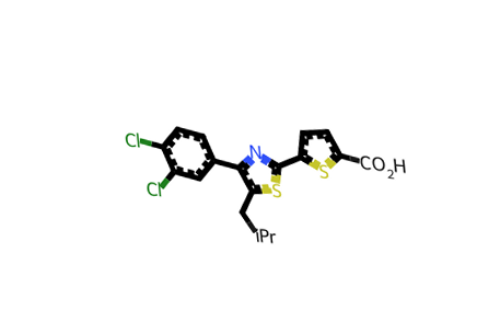 CC(C)Cc1sc(-c2ccc(C(=O)O)s2)nc1-c1ccc(Cl)c(Cl)c1